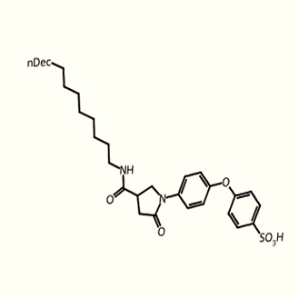 CCCCCCCCCCCCCCCCCCNC(=O)C1CC(=O)N(c2ccc(Oc3ccc(S(=O)(=O)O)cc3)cc2)C1